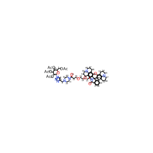 CC(=O)OCC1O[C@H](n2cc(CN3CCN(C(=O)CCOCCOCCN4C(=O)c5ccccc5C45c4cc6c7c(c4Oc4c5cc5c8c4CCCN8CCC5)CCCN7CCC6)CC3)nn2)C(OC(C)=O)[C@H](OC(C)=O)[C@H]1OC(C)=O